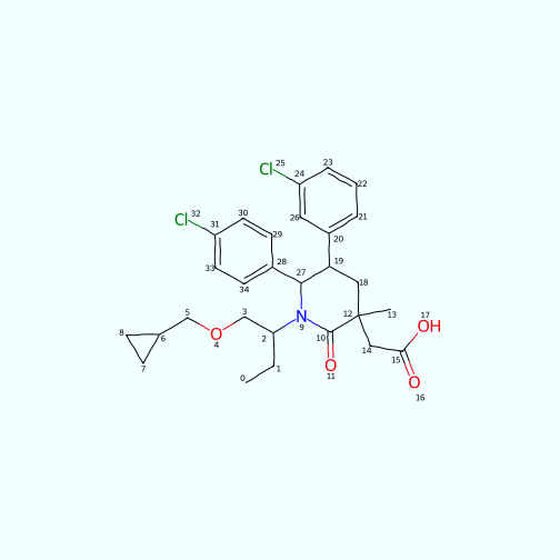 CCC(COCC1CC1)N1C(=O)C(C)(CC(=O)O)CC(c2cccc(Cl)c2)C1c1ccc(Cl)cc1